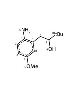 COc1ccc(N)c(CC(O)C(C)(C)C)c1